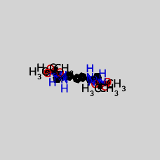 COC(=O)NC(C(=O)N1CCC[C@H]1c1ncc(-c2ccc3cc(-c4ccc5nc([C@@H]6CCCN6C(=O)[C@@H](NC(=O)OC)C(C)C)[nH]c5c4)ccc3c2)[nH]1)C(C)C